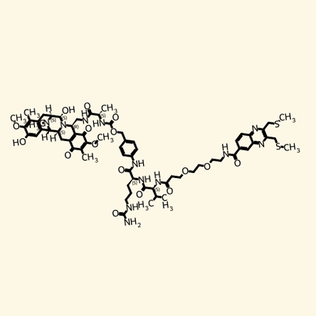 COC1=C(C)C(=O)C2=C(C1=O)[C@H](CNC(=O)[C@H](C)NC(=O)OCc1ccc(NC(=O)[C@H](CCCNC(N)=O)NC(=O)[C@@H](NC(=O)CCOCCOCCNC(=O)c3ccc4nc(CSC)c(CSC)nc4c3)C(C)C)cc1)N1[C@@H](O)[C@@H]3Cc4c(cc(O)c(OC)c4C)[C@@H]([C@@H]1C2)N3C